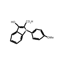 COc1ccc(-n2c(C(=O)O)c(O)c3ccccc32)cc1